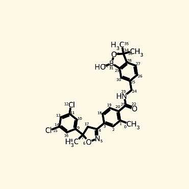 Cc1cc(C2=NOC(C)(c3cc(Cl)cc(Cl)c3)C2)ccc1C(=O)NCc1ccc2c(c1)B(O)OC2(C)C